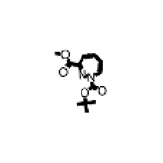 COC(=O)C1=NN(C(=O)OC(C)(C)C)C=CC=C1